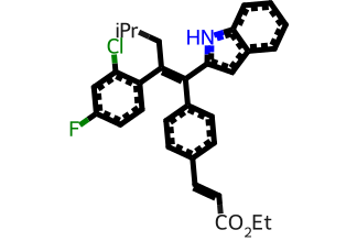 CCOC(=O)/C=C/c1ccc(/C(=C(/CC(C)C)c2ccc(F)cc2Cl)c2cc3ccccc3[nH]2)cc1